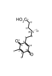 CC1=C(C)C(=O)C(CC[C@@H](C)CCC(=O)O)=CC1=O